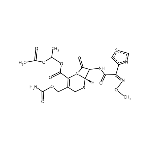 CO/N=C(\C(=O)NC1C(=O)N2C(C(=O)OC(C)OC(C)=O)=C(COC(N)=O)CS[C@@H]12)c1cscn1